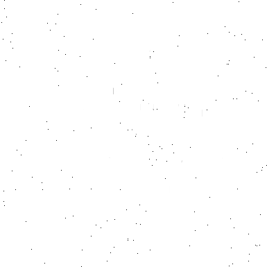 C=CCc1cccc2nc(Cc3ccccc3Cl)oc12.O=C(Cc1ccccc1Cl)Nc1ccccc1O